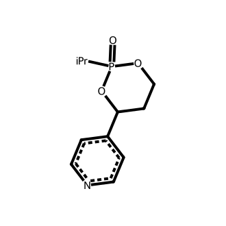 CC(C)P1(=O)OCCC(c2ccncc2)O1